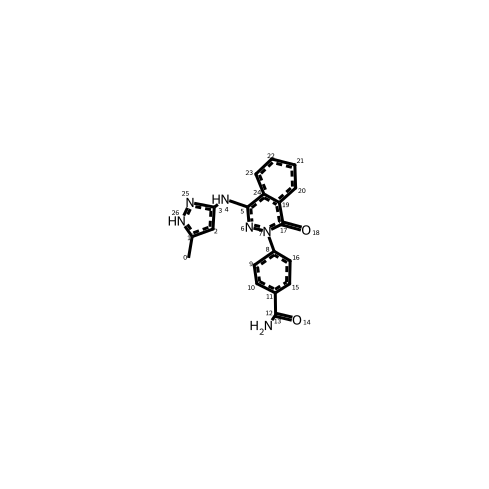 Cc1cc(Nc2nn(-c3ccc(C(N)=O)cc3)c(=O)c3ccccc23)n[nH]1